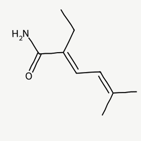 CC/C(=C\C=C(C)C)C(N)=O